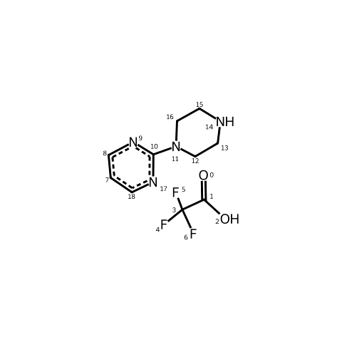 O=C(O)C(F)(F)F.c1cnc(N2CCNCC2)nc1